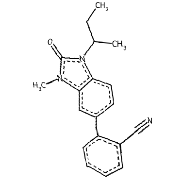 CCC(C)n1c(=O)n(C)c2cc(-c3ccccc3C#N)ccc21